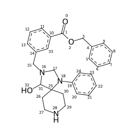 O=C(OCc1ccccc1)c1cccc(CN2CN(c3ccccc3)C3(CCNCC3)C2O)c1